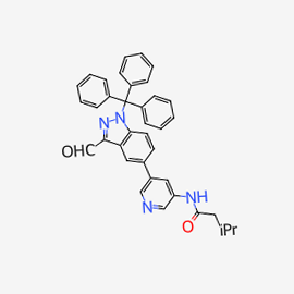 CC(C)CC(=O)Nc1cncc(-c2ccc3c(c2)c(C=O)nn3C(c2ccccc2)(c2ccccc2)c2ccccc2)c1